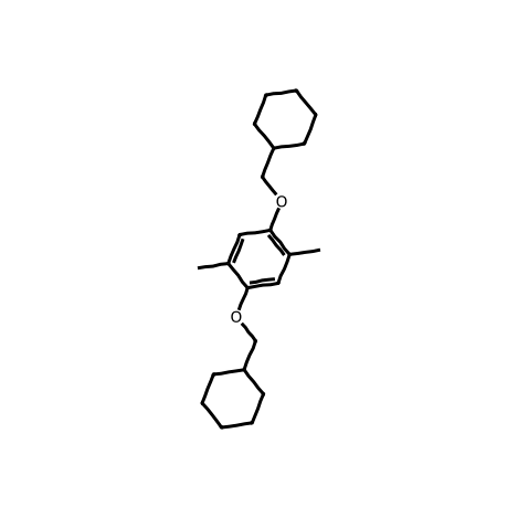 Cc1cc(OCC2CCCCC2)c(C)cc1OCC1CCCCC1